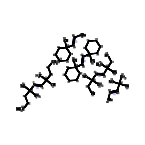 CC(C#N)(CCC(=O)O)/N=N/C(C)(C#N)CCC(=O)O.CC(C)(C)/N=N/C1(C#N)CCCCC1.CC(C)CC(C)(C#N)/N=N/C(C)(C#N)CC(C)C.CCC(C)(C#N)/N=N/C(C)(C)C.N#CC1(/N=N/C2(C#N)CCCCC2)CCCCC1